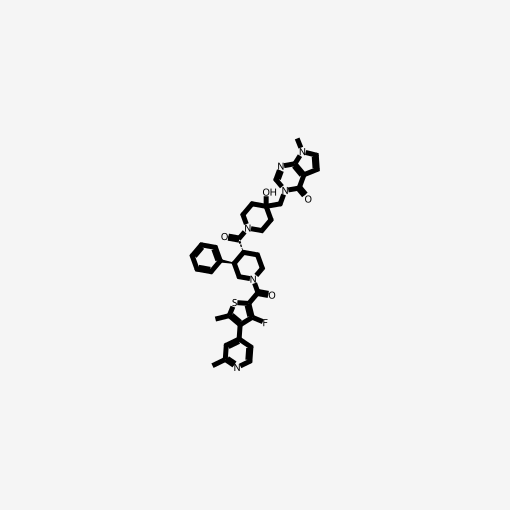 Cc1cc(-c2c(C)sc(C(=O)N3CC[C@@H](C(=O)N4CCC(O)(Cn5cnc6c(ccn6C)c5=O)CC4)[C@H](c4ccccc4)C3)c2F)ccn1